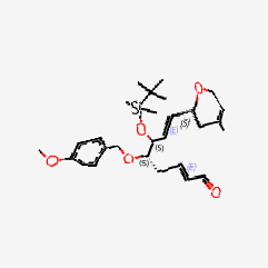 COc1ccc(CO[C@@H](C/C=C/C=O)[C@H](/C=C/[C@@H]2CC(C)=CCO2)O[Si](C)(C)C(C)(C)C)cc1